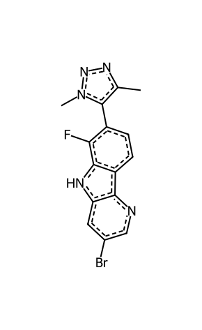 Cc1nnn(C)c1-c1ccc2c([nH]c3cc(Br)cnc32)c1F